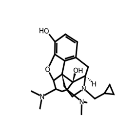 CN(C)C1CC(N(C)C)[C@@]2(O)[C@H]3Cc4ccc(O)c5c4[C@@]2(CCN3CC2CC2)C1O5